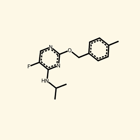 Cc1ccc(COc2ncc(F)c(NC(C)C)n2)cc1